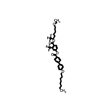 CCCCCCCCOc1ccc(-c2ccc(C(=O)Oc3ccc(C(=O)OC(CCCCCOCC)C(F)(F)F)c(C(F)(F)F)c3)cc2)cc1